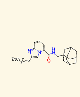 CCOC(=O)Cc1cn2c(C(=O)NCC34CC5CC(CC(C5)C3)C4)cccc2n1